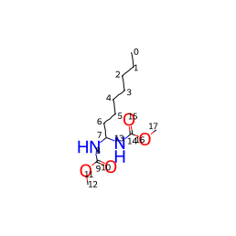 CCCCCCCC(NC(=O)OC)NC(=O)OC